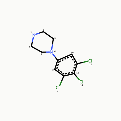 Clc1cc(N2CC[N]CC2)cc(Cl)c1Cl